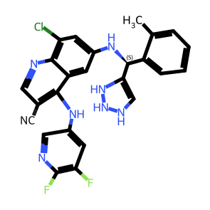 Cc1ccccc1[C@H](Nc1cc(Cl)c2ncc(C#N)c(Nc3cnc(F)c(F)c3)c2c1)C1=CNNN1